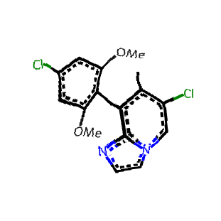 COc1cc(Cl)cc(OC)c1-c1c(C)c(Cl)cn2ccnc12